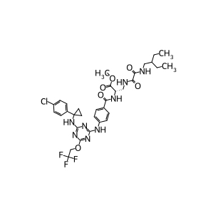 CCC(CC)CNC(=O)C(=O)NC[C@H](NC(=O)c1ccc(Nc2nc(NC3(c4ccc(Cl)cc4)CC3)nc(OCC(F)(F)F)n2)cc1)C(=O)OC